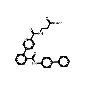 COC(=O)CCNC(=O)c1ccc(-c2ccccc2C(=O)Nc2ccc(-c3ccccc3)cc2)cn1